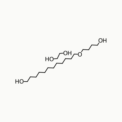 OCCCCCCCCCCCCOCCCCO.OCCO